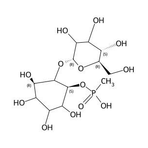 CP(=O)(O)O[C@H]1C(O)C(O)C(O)[C@@H](O)C1O[C@H]1O[C@H](CO)[C@@H](O)C(O)C1O